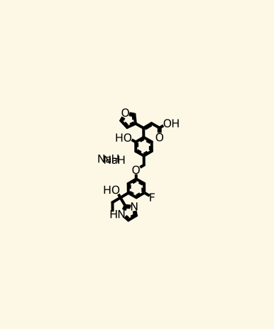 CCC(O)(c1cc(F)cc(OCc2ccc(/C(=C\C(=O)O)c3ccoc3)c(O)c2)c1)c1ncc[nH]1.[NaH].[NaH]